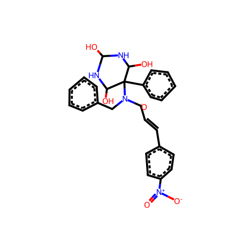 O=C(C=Cc1ccc([N+](=O)[O-])cc1)N(Cc1ccccc1)C1(c2ccccc2)C(O)NC(O)NC1O